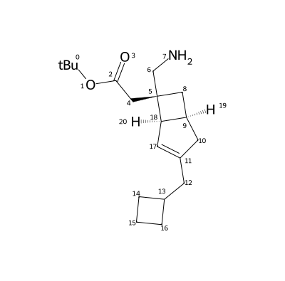 CC(C)(C)OC(=O)C[C@@]1(CN)C[C@H]2CC(CC3CCC3)=C[C@H]21